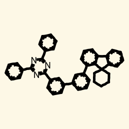 c1ccc(-c2nc(-c3ccccc3)nc(-c3cccc(-c4cccc(-c5cccc6c5C5(CCCCC5)c5ccccc5-6)c4)c3)n2)cc1